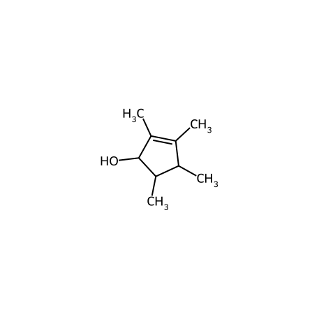 CC1=C(C)C(O)C(C)C1C